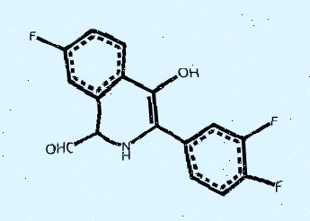 O=CC1NC(c2ccc(F)c(F)c2)=C(O)c2ccc(F)cc21